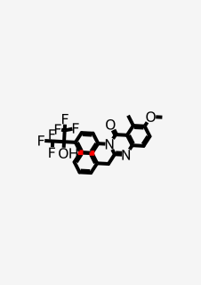 COc1ccc2nc(Cc3ccccc3)n(-c3ccc(C(O)(C(F)(F)F)C(F)(F)F)cc3)c(=O)c2c1C